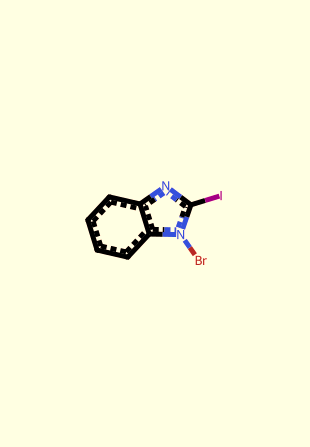 Brn1c(I)nc2ccccc21